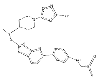 CC(C)c1noc(N2CCC(C(C)Oc3nc4ccc(-c5ccc(NC[SH](=O)=O)cc5)nc4s3)CC2)n1